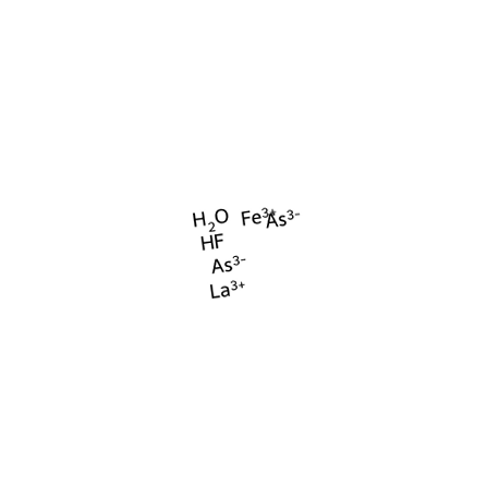 F.O.[As-3].[As-3].[Fe+3].[La+3]